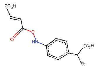 CCC(C(=O)O)c1ccc(NOC(=O)C=CC(=O)O)cc1